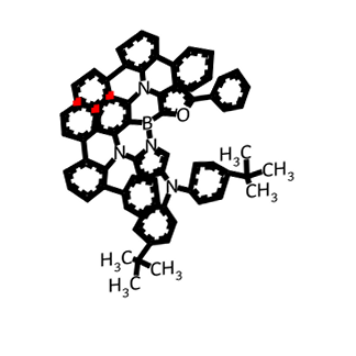 CC(C)(C)c1ccc(N(c2ccc(C(C)(C)C)cc2)c2cc3n(c2)B2c4oc(-c5ccccc5)cc4N(c4c(-c5ccccc5)cccc4-c4ccccc4)c4cccc(c42)N3c2c(-c3ccccc3)cccc2-c2ccccc2)cc1